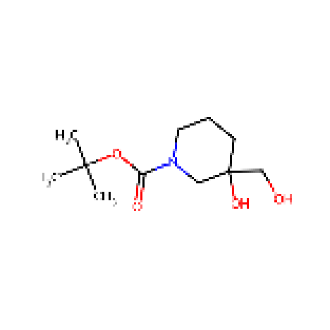 CC(C)(C)OC(=O)N1CCCC(O)(CO)C1